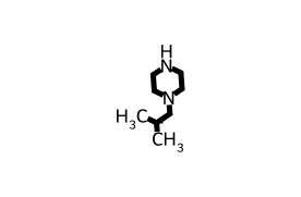 C[C](C)CN1CCNCC1